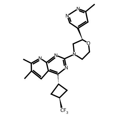 Cc1cc([C@@H]2CN(c3nc4nc(C)c(C)cc4c([C@H]4C[C@H](C(F)(F)F)C4)n3)CCO2)cnn1